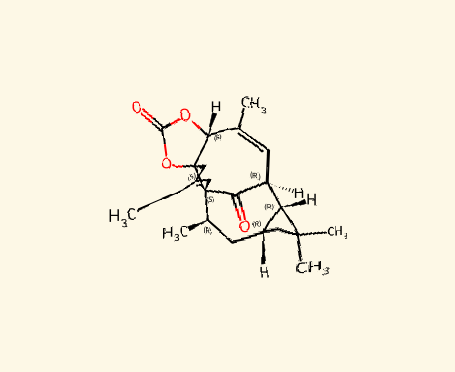 CC1=C[C@]23C(=O)[C@@H](C=C(C)[C@H]4OC(=O)O[C@]42C1)[C@H]1[C@@H](C[C@H]3C)C1(C)C